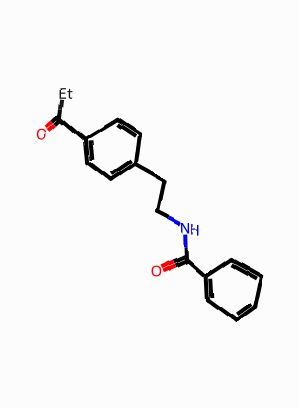 CCC(=O)c1ccc(CCNC(=O)c2ccccc2)cc1